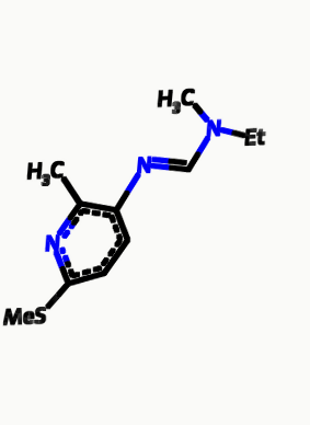 CCN(C)/C=N/c1ccc(SC)nc1C